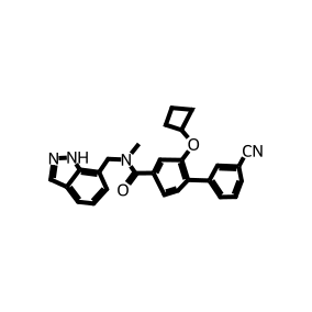 CN(Cc1cccc2cn[nH]c12)C(=O)c1ccc(-c2cccc(C#N)c2)c(OC2CCC2)c1